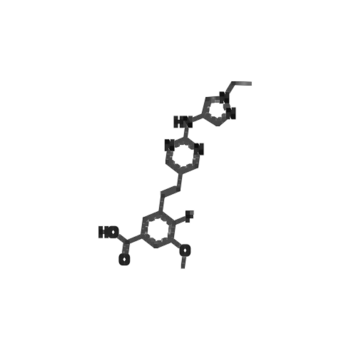 CCn1cc(Nc2ncc(C=Cc3cc(C(=O)O)cc(OC)c3F)cn2)cn1